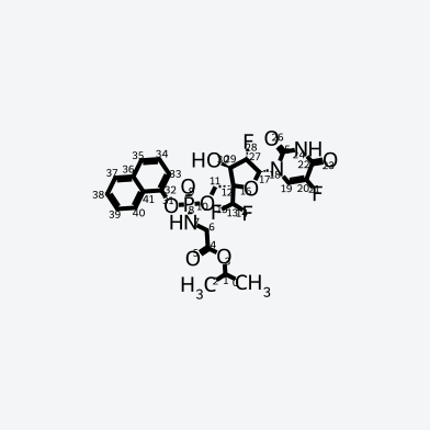 CC(C)OC(=O)CNP(=O)(OC[C@@]1(C(F)F)O[C@@H](n2cc(F)c(=O)[nH]c2=O)[C@@H](F)[C@@H]1O)Oc1cccc2ccccc12